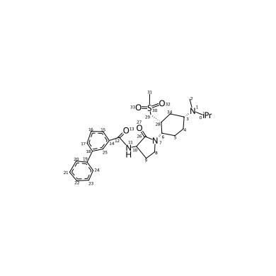 CC(C)N(C)[C@@H]1CC[C@H](N2CCC(NC(=O)c3cccc(-c4ccccc4)c3)C2=O)[C@H](CS(C)(=O)=O)C1